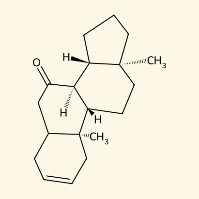 C[C@@]12CCC[C@H]1[C@@H]1C(=O)CC3CC=CC[C@]3(C)[C@H]1CC2